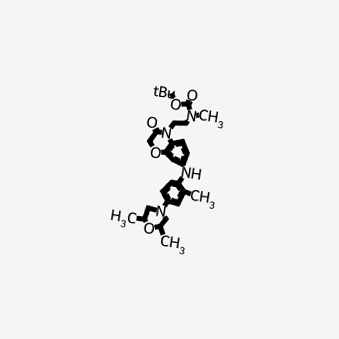 Cc1cc(N2CC(C)OC(C)C2)ccc1Nc1ccc2c(c1)OCC(=O)N2CCN(C)C(=O)OC(C)(C)C